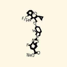 COC(=O)c1cc(F)c2nc(N3CC4CC[C@H](OC/C(C(=N)c5ccccc5C(F)(F)F)=C(/O)C5CC5)C[C@H]4C3)sc2c1